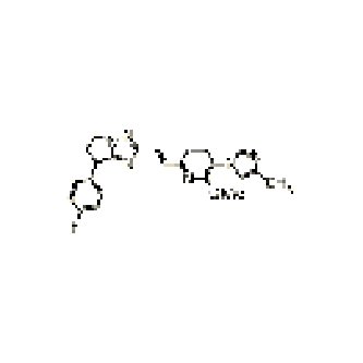 COc1nc(C=Cc2nc3n(n2)CCC3c2ccc(F)cc2)ccc1-n1cnc(C)c1